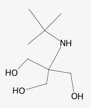 CC(C)(C)NC(CO)(CO)CO